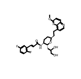 COc1ccc2nccc(CC[C@@H]3CC[C@@H](NC(=O)/C=C/c4cc(F)ccc4F)[C@@H](CC(O)CO)O3)c2n1